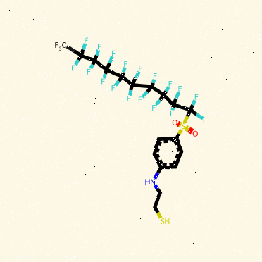 O=S(=O)(c1ccc(NCCS)cc1)C(F)(F)C(F)(F)C(F)(F)C(F)(F)C(F)(F)C(F)(F)C(F)(F)C(F)(F)C(F)(F)C(F)(F)F